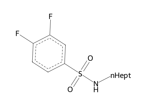 CCCCCCCNS(=O)(=O)c1ccc(F)c(F)c1